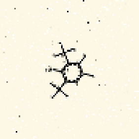 Cc1cc(C(C)(C)C)c(S)c(C(C)(C)C)c1C